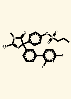 CCCS(=O)(=O)Oc1ccc(C2(c3cccc(-c4ccc(F)nc4F)c3)N=C(N)N(C)C2=O)cc1